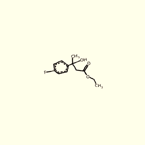 CCOC(=O)CC(C)(O)c1ccc(F)cc1